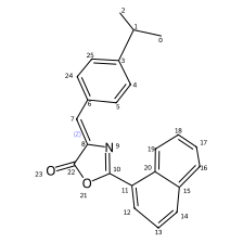 CC(C)c1ccc(/C=C2\N=C(c3cccc4ccccc34)OC2=O)cc1